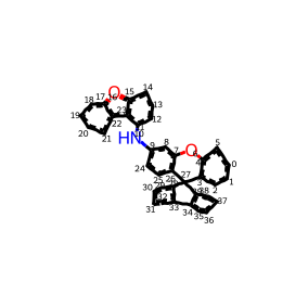 c1ccc2c(c1)Oc1cc(Nc3cccc4oc5ccccc5c34)ccc1C21c2ccccc2-c2ccccc21